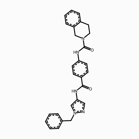 O=C(Nc1cnn(Cc2ccccc2)c1)c1ccc(NC(=O)N2CCc3ccccc3C2)cc1